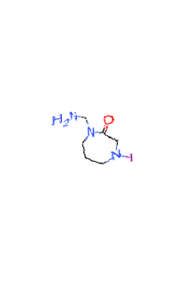 NCN1CCCN(I)CC1=O